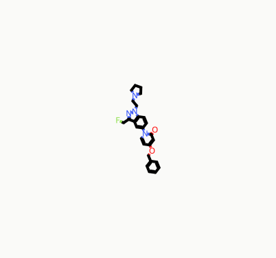 O=c1cc(OCc2ccccc2)ccn1-c1ccc2c(c1)c(CF)nn2CCN1CCCC1